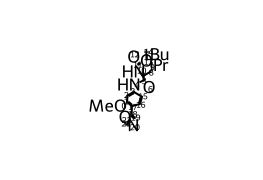 COc1cc(NC(=O)C(CC(C)C)NC(=O)OC(C)(C)C)ccc1-c1cnco1